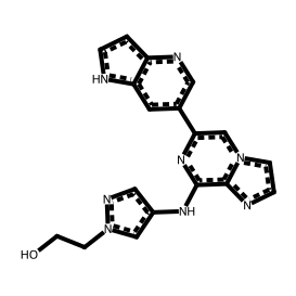 OCCn1cc(Nc2nc(-c3cnc4cc[nH]c4c3)cn3ccnc23)cn1